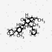 CCn1cc2[nH]c(=O)c(-c3nc4cc(C)c(N5CCOCC5)cc4[nH]3)c(NC(C)c3ncccn3)c2n1